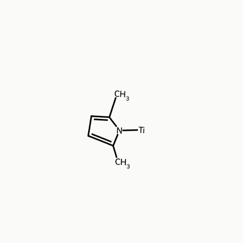 Cc1ccc(C)[n]1[Ti]